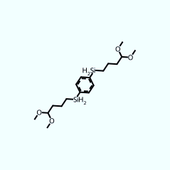 COC(CCC[SiH2]c1ccc([SiH2]CCCC(OC)OC)cc1)OC